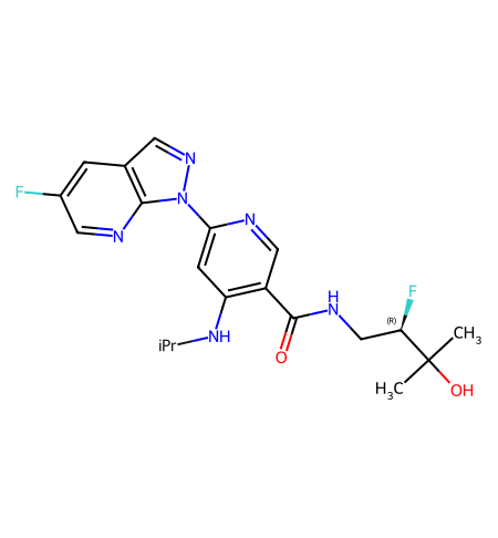 CC(C)Nc1cc(-n2ncc3cc(F)cnc32)ncc1C(=O)NC[C@@H](F)C(C)(C)O